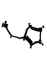 SCc1conn1